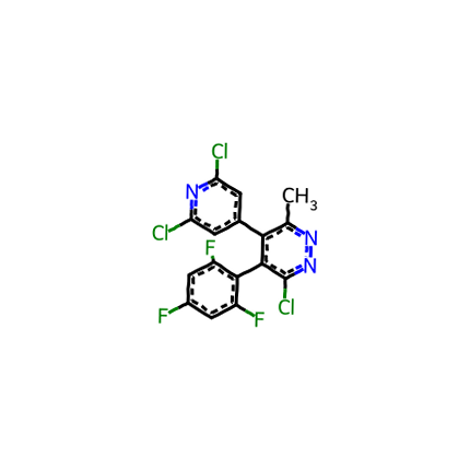 Cc1nnc(Cl)c(-c2c(F)cc(F)cc2F)c1-c1cc(Cl)nc(Cl)c1